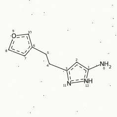 Nc1cc(CCc2ccoc2)n[nH]1